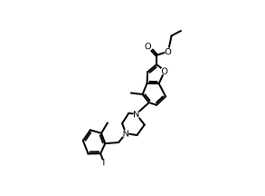 CCOC(=O)c1cc2c(C)c(N3CCN(Cc4c(C)cccc4I)CC3)ccc2o1